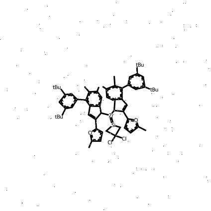 Cc1ccc(C2=Cc3c(cc(C)c(C)c3-c3cc(C(C)(C)C)cc(C(C)(C)C)c3)[CH]2[Zr]([CH]2C(c3ccc(C)o3)=Cc3c2cc(C)c(C)c3-c2cc(C(C)(C)C)cc(C(C)(C)C)c2)=[Si]2CC(Cl)(Cl)C2)o1